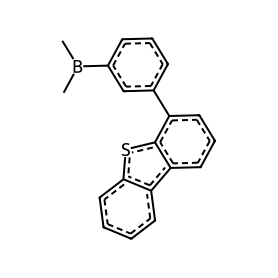 CB(C)c1cccc(-c2cccc3c2sc2ccccc23)c1